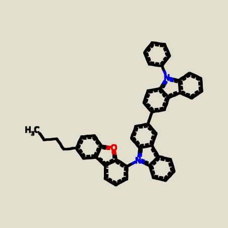 CCCCc1ccc2oc3c(-n4c5ccccc5c5cc(-c6ccc7c(c6)c6ccccc6n7-c6ccccc6)ccc54)cccc3c2c1